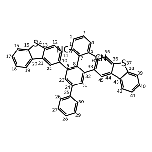 N#Cc1cccc(C#N)c1-c1c(-c2ccc3sc4ccccc4c3c2)cc(-c2ccccc2)cc1-c1ccc2sc3ccccc3c2c1